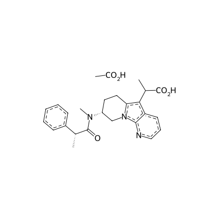 CC(=O)O.CC(C(=O)O)c1c2n(c3ncccc13)C[C@H](N(C)C(=O)[C@H](C)c1ccccc1)CC2